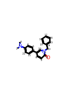 CN(C)c1ccc(-c2ccc(=O)n(Cc3ccccc3)c2)cc1